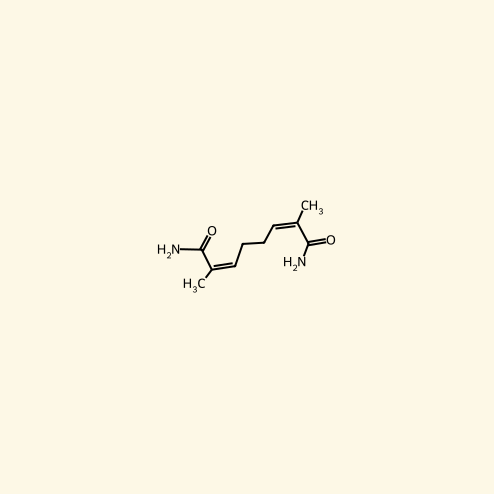 CC(=CCCC=C(C)C(N)=O)C(N)=O